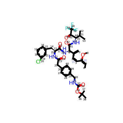 C=C(/C=C\C(=C/C)OC)[C@H](NC(=O)[C@H](Cc1cccc(Cl)c1)NC(=O)Cc1ccc(CNC(=O)OC(C)(C)C)cc1)C(=O)N[C@H](C(=O)C(F)(F)F)C(C)C